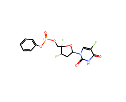 O=c1[nH]c(=O)n([C@H]2C[C@H](F)[C@@](F)(CO[PH](=O)Oc3ccccc3)O2)cc1F